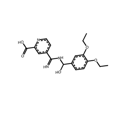 CCOc1ccc(C(O)NC(=N)c2ccnc(C(=O)O)c2)cc1OCC